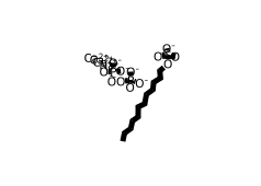 CCCCCCCCCCCCOS(=O)(=O)[O-].O=P([O-])([O-])[O-].O=P([O-])([O-])[O-].[Ca+2].[Ca+2].[Ca+2].[Na+]